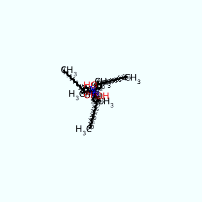 CCCCCCCCCCCCc1ccc(-c2nc(-c3ccc(CCCCCCCCCCCC)c(C)c3O)nc(-c3ccc(CCCCCCCCCCCC)c(C)c3O)n2)c(O)c1C